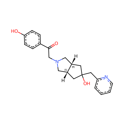 O=C(CN1C[C@@H]2CC(O)(Cc3ccccn3)C[C@@H]2C1)c1ccc(O)cc1